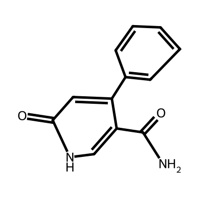 NC(=O)c1c[nH]c(=O)cc1-c1ccccc1